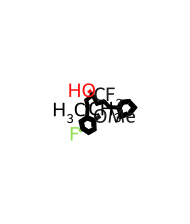 COc1ccc(F)cc1C(C)(C)CC(O)(CCCc1ccccc1)C(F)(F)F